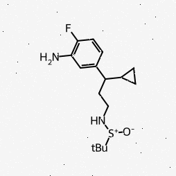 CC(C)(C)[S+]([O-])NCCC(c1ccc(F)c(N)c1)C1CC1